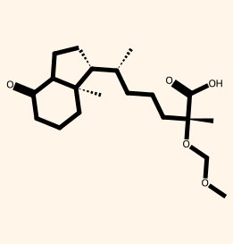 COCO[C@](C)(CCC[C@@H](C)[C@H]1CCC2C(=O)CCC[C@@]21C)C(=O)O